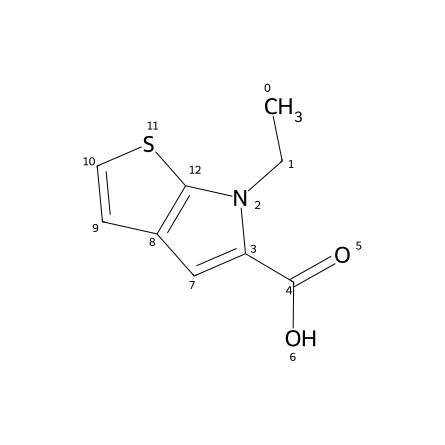 CCn1c(C(=O)O)cc2ccsc21